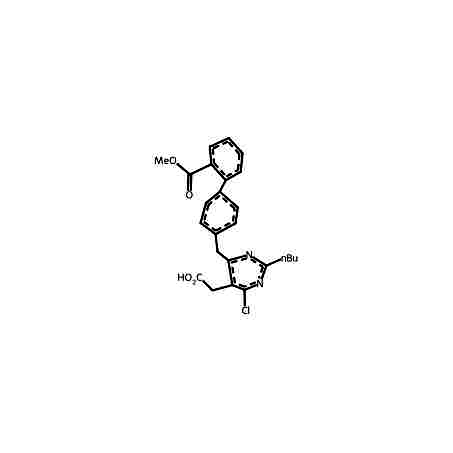 CCCCc1nc(Cl)c(CC(=O)O)c(Cc2ccc(-c3ccccc3C(=O)OC)cc2)n1